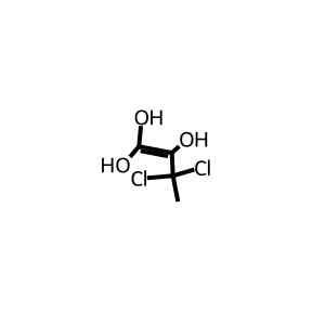 CC(Cl)(Cl)C(O)=C(O)O